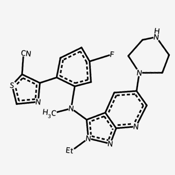 CCn1nc2ncc(N3CCNCC3)cc2c1N(C)c1cc(F)ccc1-c1ncsc1C#N